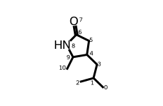 CC(C)CC1CC(=O)NC1C